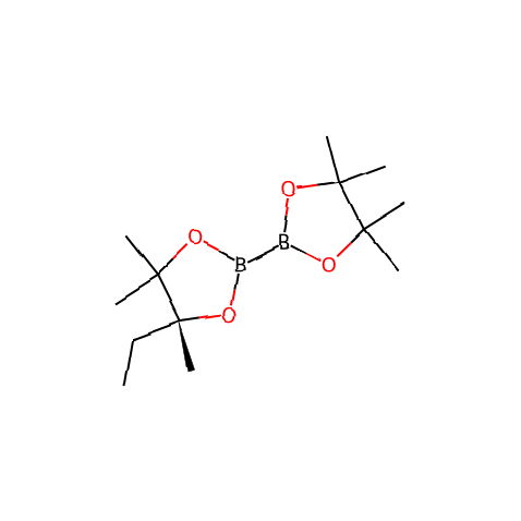 CC[C@@]1(C)OB(B2OC(C)(C)C(C)(C)O2)OC1(C)C